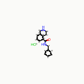 Cl.O=C(NCc1ccccc1)c1cccc2c1CCNC2